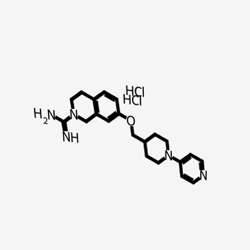 Cl.Cl.N=C(N)N1CCc2ccc(OCC3CCN(c4ccncc4)CC3)cc2C1